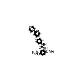 COc1ccc(OC(F)(F)F)cc1NC(=O)N[C@H]1CC[C@H](Oc2ccnc(N3CCOCC3)c2)CC1